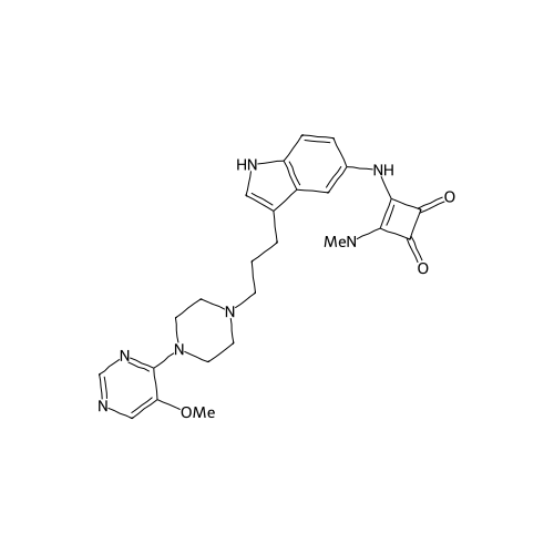 CNc1c(Nc2ccc3[nH]cc(CCCN4CCN(c5ncncc5OC)CC4)c3c2)c(=O)c1=O